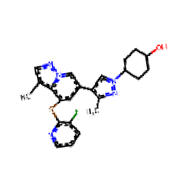 Cc1nn(C2CCC(O)CC2)cc1-c1cc(Sc2ncccc2F)c2c(C#N)cnn2c1